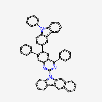 c1ccc(-c2cc3nc(-n4c5ccccc5c5cc6ccccc6cc54)nc(-c4ccccc4)c3cc2-c2ccc3c(c2)c2ccccc2n3-c2ccccc2)cc1